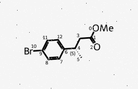 COC(=O)C[C@H](C)c1ccc(Br)cc1